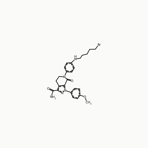 COc1ccc(-n2nc(C(N)=O)c3c2C(=O)N(c2ccc(NCCCCCBr)cc2)CC3)cc1